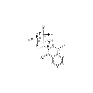 O=c1c2ccccc2c(I)cn1CC(O)(C(F)(F)F)C(F)(F)F